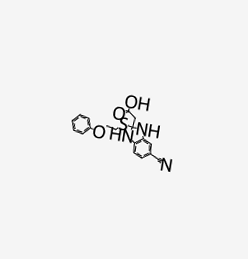 N#Cc1ccc2c(c1)NC(CC(=O)O)(SCCOc1ccccc1)N2